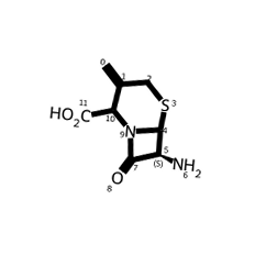 C=C1CSC2[C@@H](N)C(=O)N2C1C(=O)O